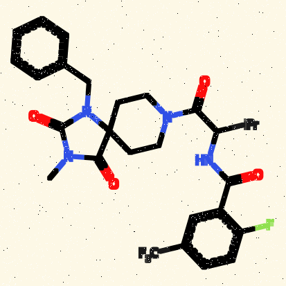 CC(C)C(NC(=O)c1cc(C(F)(F)F)ccc1F)C(=O)N1CCC2(CC1)C(=O)N(C)C(=O)N2Cc1ccccc1